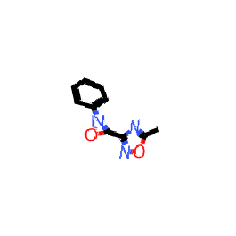 Cc1nc(C2ON2c2ccccc2)no1